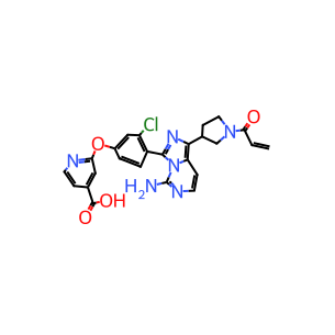 C=CC(=O)N1CCC(c2nc(-c3ccc(Oc4cc(C(=O)O)ccn4)cc3Cl)n3c(N)nccc23)C1